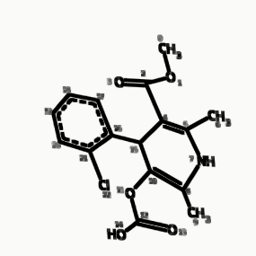 COC(=O)C1=C(C)NC(C)=C(OC(=O)O)C1c1ccccc1Cl